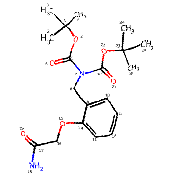 CC(C)(C)OC(=O)N(Cc1ccccc1OCC(N)=O)C(=O)OC(C)(C)C